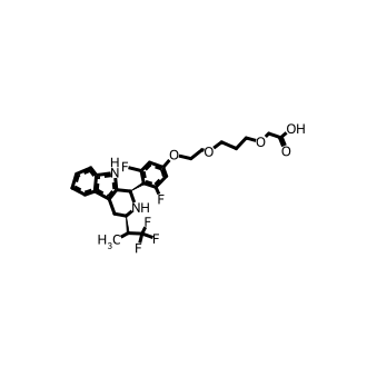 CC([C@H]1Cc2c([nH]c3ccccc23)[C@@H](c2c(F)cc(OCCOCCCOCC(=O)O)cc2F)N1)C(F)(F)F